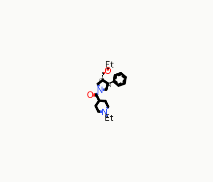 CCOC[C@H]1CN(C(=O)C2CCN(CC)CC2)C[C@@H]1c1ccccc1